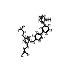 CC(C)CCc1nc(CCC(C)C)n(Cc2ccc(-c3cccc(-c4nnn[nH]4)c3)cc2)n1